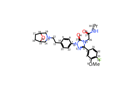 COc1cc(-c2nn(-c3ccc(CCN4CC5CCC(C4)O5)cc3)c(=O)n2CC(=O)NC(C)C)ccc1F